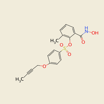 CC#CCOc1ccc(S(=O)(=O)Oc2c(C)cccc2C(=O)NO)cc1